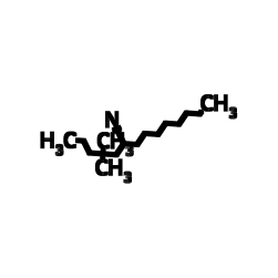 CCCCCCCCC(C#N)CC(C)(C)CCC